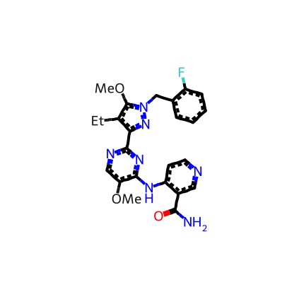 CCc1c(-c2ncc(OC)c(Nc3ccncc3C(N)=O)n2)nn(Cc2ccccc2F)c1OC